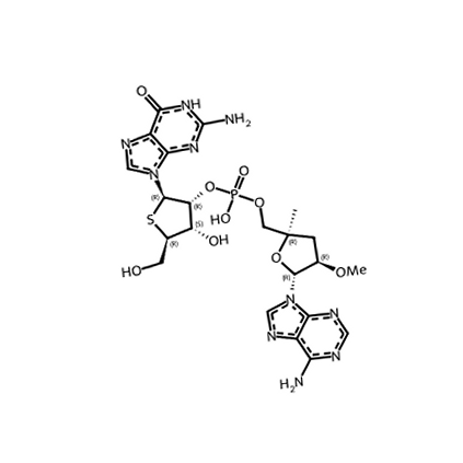 CO[C@@H]1C[C@](C)(COP(=O)(O)O[C@@H]2[C@H](O)[C@@H](CO)S[C@H]2n2cnc3c(=O)[nH]c(N)nc32)O[C@H]1n1cnc2c(N)ncnc21